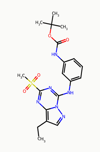 CCc1cnn2c(Nc3cccc(NC(=O)OC(C)(C)C)c3)nc(S(C)(=O)=O)nc12